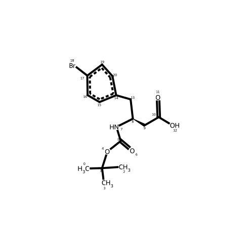 CC(C)(C)OC(=O)N[C@H](CC(=O)O)Cc1ccc(Br)cc1